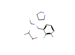 Cc1cccc(CN(CC(C)C)[C@@H]2CCNC2)c1Cl.O=C(O)C(O)C(O)C(=O)O